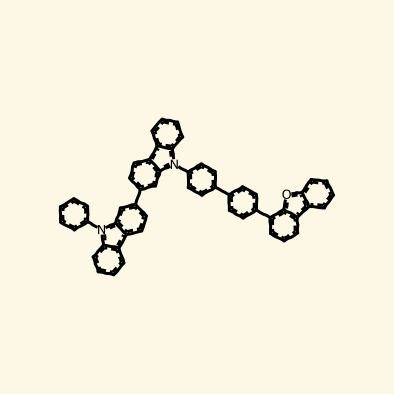 c1ccc(-n2c3ccccc3c3ccc(-c4ccc5c6ccccc6n(-c6ccc(-c7ccc(-c8cccc9c8oc8ccccc89)cc7)cc6)c5c4)cc32)cc1